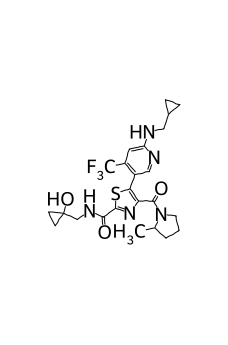 CC1CCCN1C(=O)c1nc(C(=O)NCC2(O)CC2)sc1-c1cnc(NCC2CC2)cc1C(F)(F)F